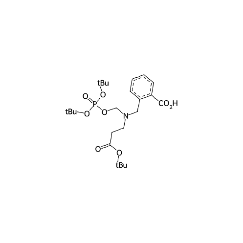 CC(C)(C)OC(=O)CCN(COP(=O)(OC(C)(C)C)OC(C)(C)C)Cc1ccccc1C(=O)O